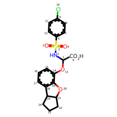 O=C(O)C(NS(=O)(=O)c1ccc(Cl)cc1)Oc1cccc2c1OC1CCCC21